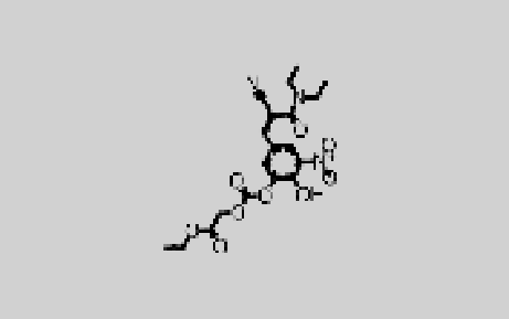 CCOC(=O)COC(=O)Oc1cc(C=C(C#N)C(=O)N(CC)CC)cc([N+](=O)[O-])c1O